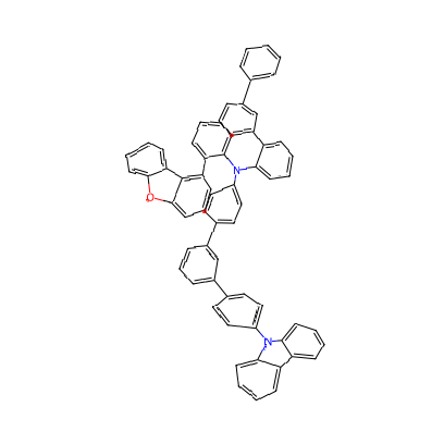 c1ccc(-c2cccc(-c3ccccc3N(c3ccc(-c4cccc(-c5ccc(-n6c7ccccc7c7ccccc76)cc5)c4)cc3)c3ccccc3-c3cccc4oc5ccccc5c34)c2)cc1